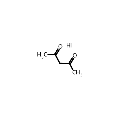 CC(=O)CC(C)=O.I